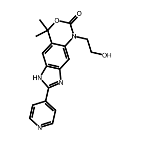 CC1(C)OC(=O)N(CCO)c2cc3nc(-c4ccncc4)[nH]c3cc21